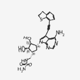 Nc1ncnc2c1c(C#Cc1cccc3c1SCC3)cn2[C@@H]1C[C@H](CNS(N)(=O)=O)[C@@H](O)[C@H]1O